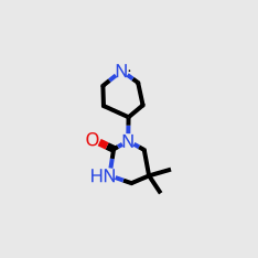 CC1(C)CNC(=O)N(C2CC[N]CC2)C1